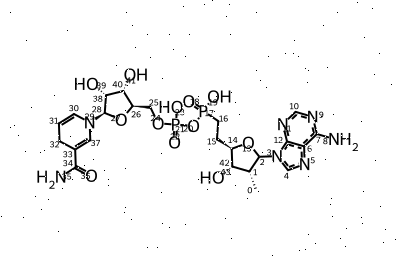 C[C@H]1C(n2cnc3c(N)ncnc32)O[C@H](CCP(=O)(O)OP(=O)(O)OC[C@H]2O[C@@H](N3C=CCC(C(N)=O)=C3)[C@H](O)[C@@H]2O)[C@H]1O